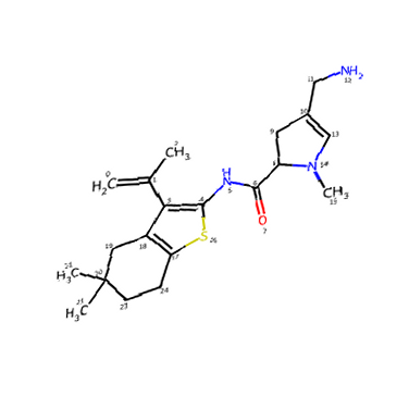 C=C(C)c1c(NC(=O)C2CC(CN)=CN2C)sc2c1CC(C)(C)CC2